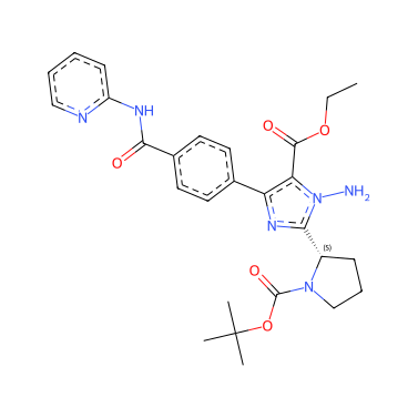 CCOC(=O)c1c(-c2ccc(C(=O)Nc3ccccn3)cc2)nc([C@@H]2CCCN2C(=O)OC(C)(C)C)n1N